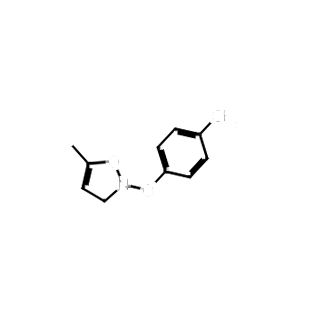 CC1=CCN(Oc2ccc(C(F)(F)F)cc2)O1